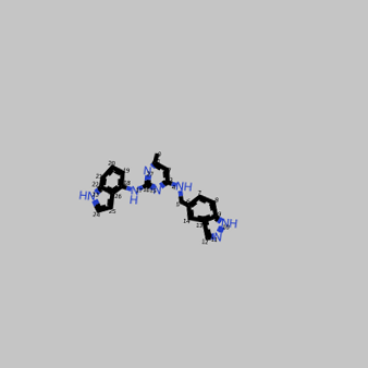 Cc1cc(NCc2ccc3[nH]ncc3c2)nc(Nc2cccc3[nH]ccc23)n1